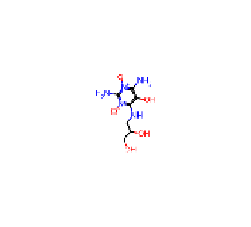 Nc1c(O)c(NCC(O)CO)[n+]([O-])c(N)[n+]1[O-]